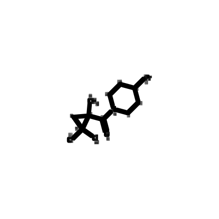 CC(C)C1CCN(C(=O)C2(C)CC2(Cl)Cl)CC1